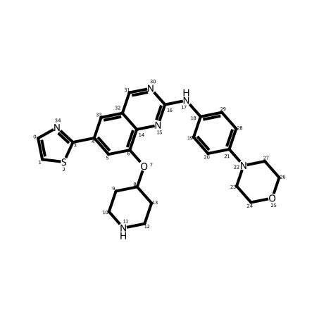 c1csc(-c2cc(OC3CCNCC3)c3nc(Nc4ccc(N5CCOCC5)cc4)ncc3c2)n1